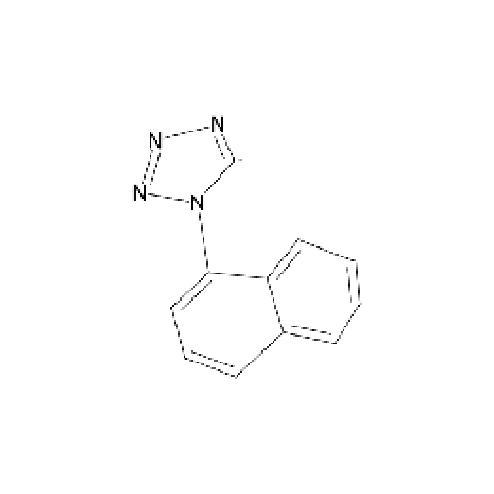 [c]1nnnn1-c1cccc2ccccc12